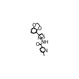 Cc1ccc(C(=O)Nc2nc(-c3cccc4c3OCCO4)cs2)cn1